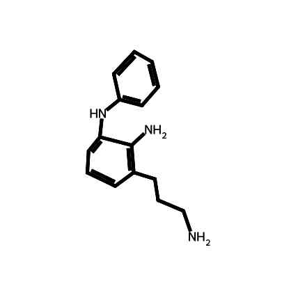 NCCCc1cccc(Nc2ccccc2)c1N